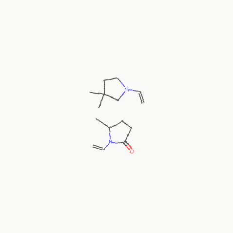 C=CN1C(=O)CCC1C.C=CN1CCC(C)(C)C1